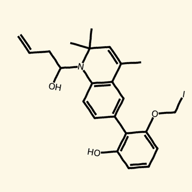 C=CCC(O)N1c2ccc(-c3c(O)cccc3OCI)cc2C(C)=CC1(C)C